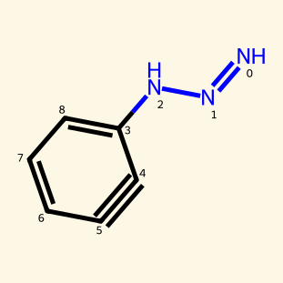 N=NNc1c#cccc1